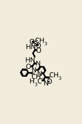 Cc1noc(C)c1-c1ccc2nc(NCCC(=O)NS(C)(=O)=O)c(=O)n([C@@H](C)c3ccccc3)c2n1